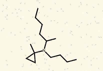 CCCCC(C)N(CCCC)C1(C)CC1